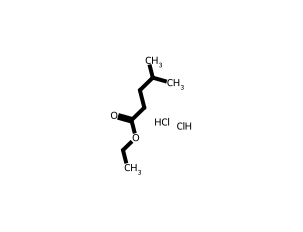 CCOC(=O)CCC(C)C.Cl.Cl